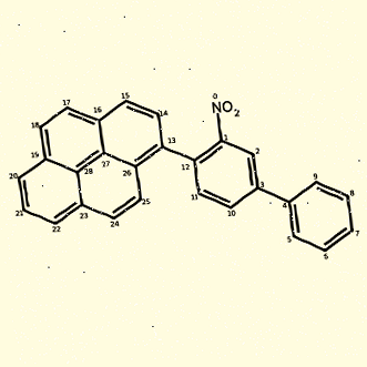 O=[N+]([O-])c1cc(-c2ccccc2)ccc1-c1ccc2ccc3cccc4ccc1c2c34